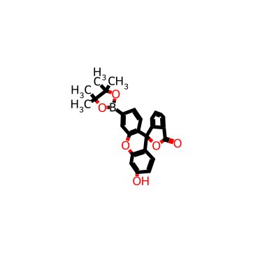 CC1(C)OB(c2ccc3c(c2)Oc2cc(O)ccc2C32OC(=O)c3ccccc32)OC1(C)C